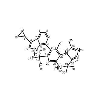 Cc1c(-c2cccc3c(C4CC4)c[nH]c23)c(C(F)(F)F)cc2c1-n1c(C)nnc1C(C)(C)N2